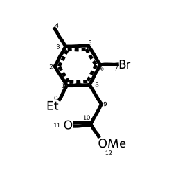 CCc1cc(C)cc(Br)c1CC(=O)OC